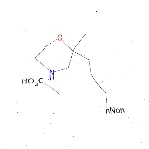 CC(=O)O.CCCCCCCCCCCCC1(C)CNCCO1